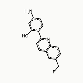 Nc1ccc(-c2ccc3cc(CF)ccc3n2)c(O)c1